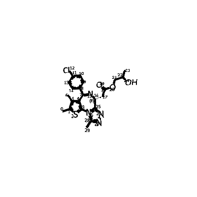 Cc1sc2c(c1C)C(c1ccc(Cl)cc1)=N[C@H](CC(=O)OCC(C)O)c1nnc(C)n1-2